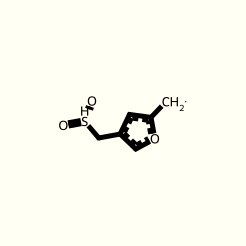 [CH2]c1cc(C[SH](=O)=O)co1